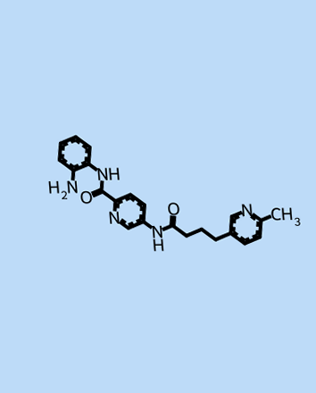 Cc1ccc(CCCC(=O)Nc2ccc(C(=O)Nc3ccccc3N)nc2)cn1